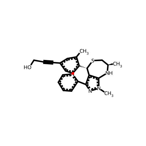 Cc1cc(C#CCO)ccc1[C@@H]1SC[C@@H](C)Nc2c1c(-c1ccccn1)nn2C